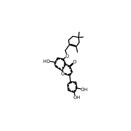 CC1=C(COc2cc(O)cc3oc(-c4ccc(O)c(O)c4)cc(=O)c23)CCC(C)(C)C1